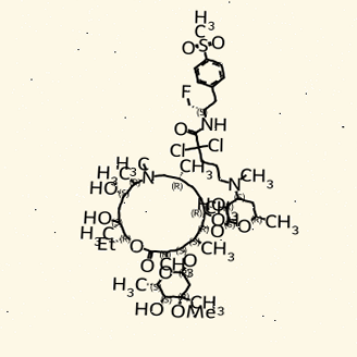 CC[C@H]1OC(=O)[C@H](C)[C@@H](O[C@H]2C[C@@](C)(OC)[C@@H](O)[C@H](C)O2)[C@H](C)[C@@H](O[C@@H]2O[C@H](C)C[C@H](N(C)CCCC(Cl)(Cl)C(=O)N[C@H](CF)Cc3ccc(S(C)(=O)=O)cc3)[C@H]2O)[C@](C)(O)CC[C@@H](C)CN(C)[C@H](C)[C@@H](O)C[C@]1(C)O